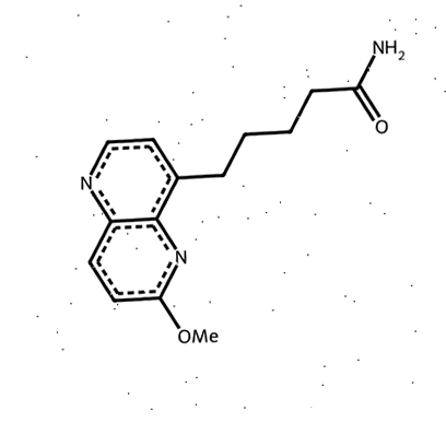 COc1ccc2nccc(CCCCC(N)=O)c2n1